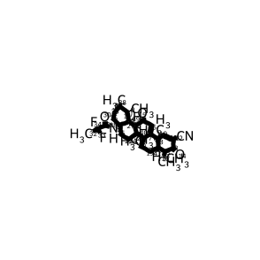 C[C@@H]1[C@H]2[C@H]3C(=O)C=C4[C@@]5(C)C=C(C#N)C(=O)C(C)(C)[C@@H]5CC[C@@]4(C)[C@]3(C)CC[C@@]2(NC(=O)C(C)(F)F)CC[C@H]1C